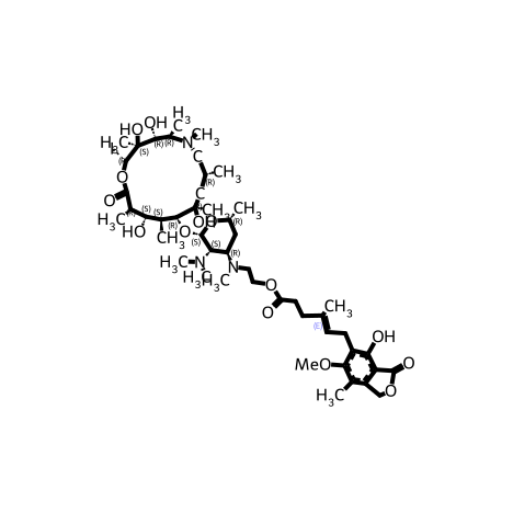 COc1c(C)c2c(c(O)c1C/C=C(\C)CCC(=O)OCCN(C)[C@@H]1C[C@@H](C)O[C@@H](O[C@@H]3[C@@H](C)[C@H](O)[C@@H](C)C(=O)O[C@H](I)[C@@](C)(O)[C@H](O)[C@@H](C)N(C)C[C@H](C)C[C@@]3(C)O)[C@H]1N(C)C)C(=O)OC2